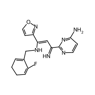 N=C(/C=C(\NCC1=CCCC=C1F)c1ccon1)c1nccc(N)n1